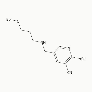 CCOCCCNCc1cnc(C(C)(C)C)c(C#N)c1